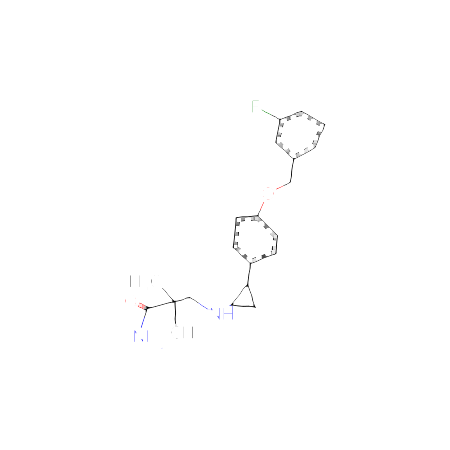 CC(C)(CNC1CC1c1ccc(OCc2cccc(F)c2)cc1)C(N)=O